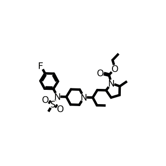 CCOC(=O)N1C(C)CCC1CC(CC)N1CCC(N(c2ccc(F)cc2)S(C)(=O)=O)CC1